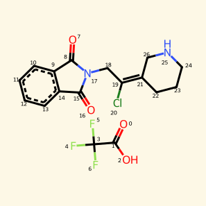 O=C(O)C(F)(F)F.O=C1c2ccccc2C(=O)N1CC(Cl)=C1CCCNC1